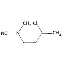 C=C(Cl)/C=C\N(C)C#N